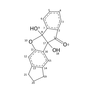 O=C1c2ccccc2C2(O)Oc3cc4c(cc3C12O)CCC4